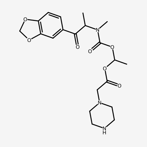 CC(OC(=O)CN1CCNCC1)OC(=O)N(C)C(C)C(=O)c1ccc2c(c1)OCO2